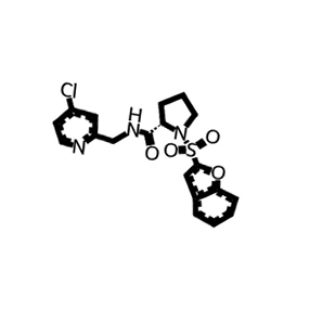 O=C(NCc1cc(Cl)ccn1)[C@@H]1CCCN1S(=O)(=O)c1cc2ccccc2o1